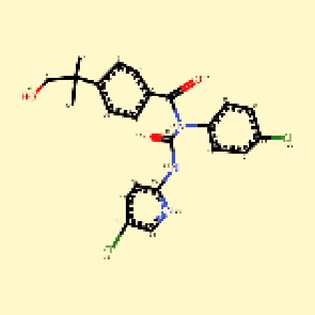 CC(C)(CO)c1ccc(C(=O)N(C(=O)Nc2ccc(Cl)cn2)c2ccc(Cl)cc2)cc1